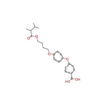 CC(C)C(C)C(=O)OCCCCOc1ccc(Oc2ccc(B(O)O)cc2)cc1